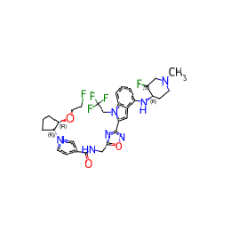 CN1CC[C@@H](Nc2cccc3c2cc(-c2noc(CNC(=O)c4ccn([C@@H]5CCC[C@H]5OCCF)c4)n2)n3CC(F)(F)F)[C@@H](F)C1